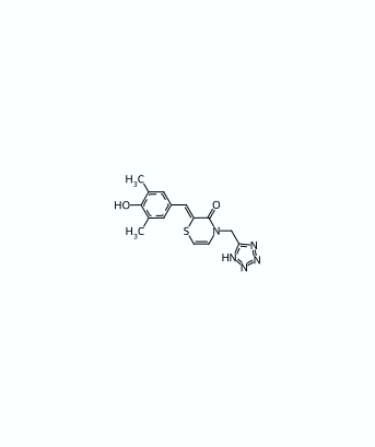 Cc1cc(C=C2SC=CN(Cc3nnn[nH]3)C2=O)cc(C)c1O